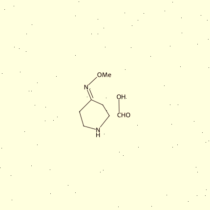 CON=C1CCNCC1.O=CO